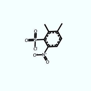 Cc1ccc([N+](=O)[O-])c(S(=O)(=O)Cl)c1C